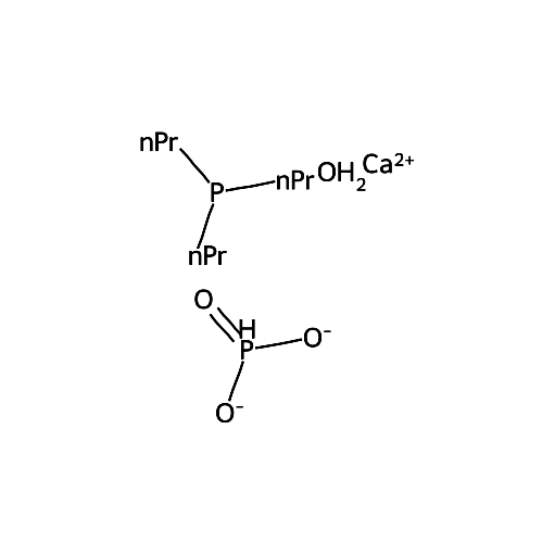 CCCP(CCC)CCC.O.O=[PH]([O-])[O-].[Ca+2]